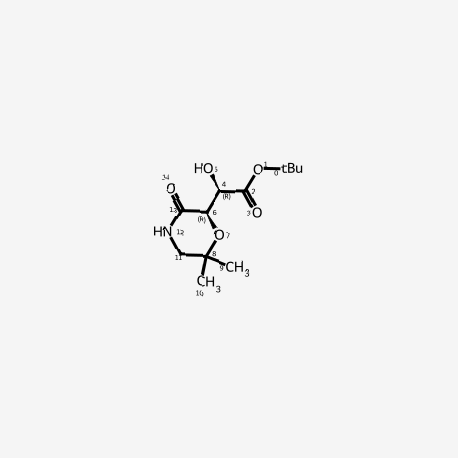 CC(C)(C)OC(=O)[C@H](O)[C@H]1OC(C)(C)CNC1=O